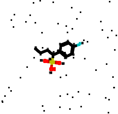 CCCC(c1ccc(F)cc1)S(=O)(=O)O